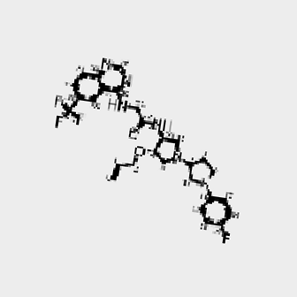 C=CCO[C@H]1CN(C2CCN(c3ccc(F)cc3)C2)CC1NC(=O)CNc1ncnc2ccc(C(F)(F)F)cc12